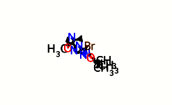 COc1ccnc(C2CC2)c1-c1ncc2nn(COCC[Si](C)(C)C)c(Br)c2n1